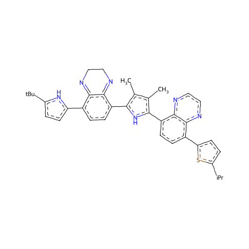 Cc1c(-c2ccc(-c3ccc(C(C)(C)C)[nH]3)c3c2=NCCN=3)[nH]c(-c2ccc(-c3ccc(C(C)C)s3)c3nccnc23)c1C